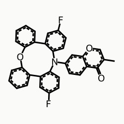 Cc1coc2cc(N3c4ccc(F)cc4-c4ccccc4Oc4ccccc4-c4cc(F)ccc43)ccc2c1=O